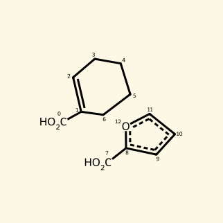 O=C(O)C1=CCCCC1.O=C(O)c1ccco1